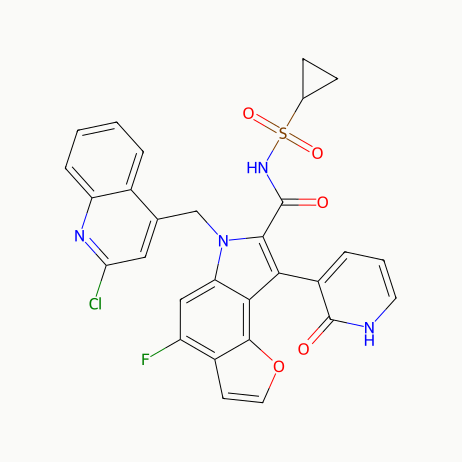 O=C(NS(=O)(=O)C1CC1)c1c(-c2ccc[nH]c2=O)c2c3occc3c(F)cc2n1Cc1cc(Cl)nc2ccccc12